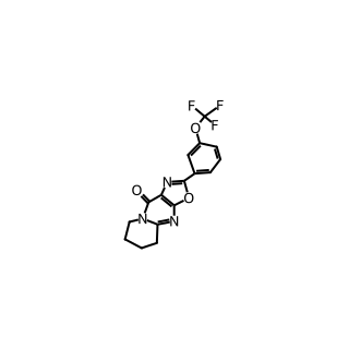 O=c1c2nc(-c3cccc(OC(F)(F)F)c3)oc2nc2n1CCCC2